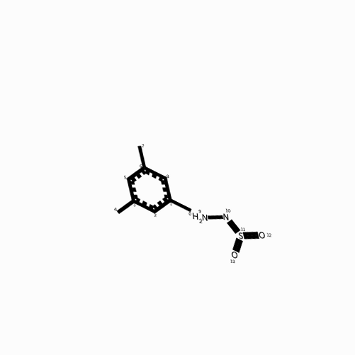 Cc1cc(C)cc(C)c1.NN=S(=O)=O